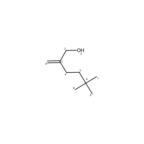 C=C(CO)CCC(C)(C)C